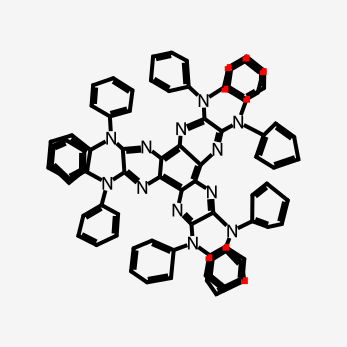 c1ccc(N(c2ccccc2)c2nc3c4nc(N(c5ccccc5)c5ccccc5)c(N(c5ccccc5)c5ccccc5)nc4c4nc(N(c5ccccc5)c5ccccc5)c(N(c5ccccc5)c5ccccc5)nc4c3nc2N(c2ccccc2)c2ccccc2)cc1